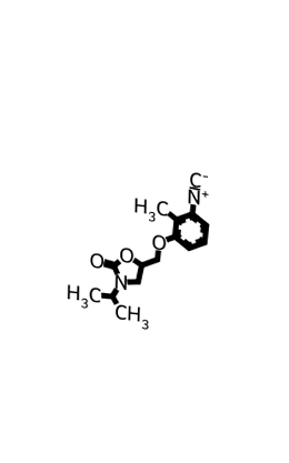 [C-]#[N+]c1cccc(OCC2CN(C(C)C)C(=O)O2)c1C